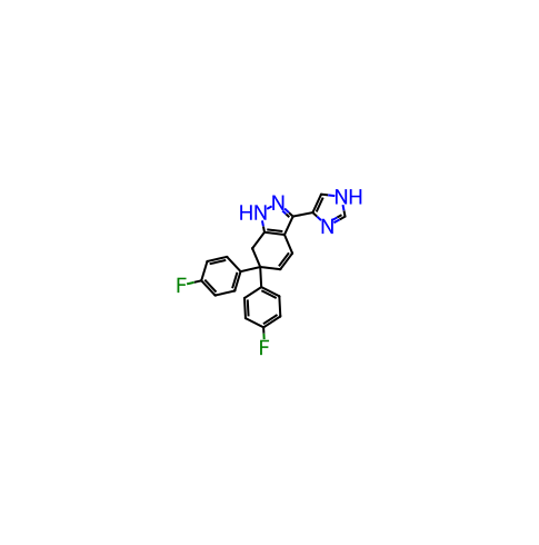 Fc1ccc(C2(c3ccc(F)cc3)C=Cc3c(-c4c[nH]cn4)n[nH]c3C2)cc1